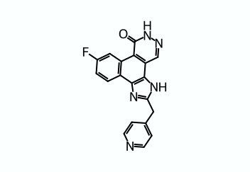 O=c1[nH]ncc2c3[nH]c(Cc4ccncc4)nc3c3ccc(F)cc3c12